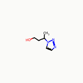 CC(CCO)n1ccnn1